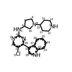 Clc1cnc(NC2CCN(C3CCNCC3)C2)nc1-c1c[nH]c2ccccc12